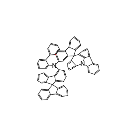 c1ccc(-c2ccccc2N(c2ccc3c(c2)C2(c4ccccc4-3)c3ccccc3-n3c4ccccc4c4cccc2c43)c2cccc3c2-c2ccccc2C32c3ccccc3-c3ccccc32)cc1